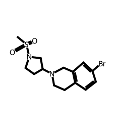 CS(=O)(=O)N1CCC(N2CCc3ccc(Br)cc3C2)C1